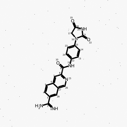 N=C(N)c1ccc2cc(C(=O)Nc3ccc(N4CC(=O)NC4=O)cc3)ncc2c1